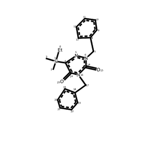 CC[Si](C)(C)c1nn(Cc2ccccc2)c(=O)n(Cc2ccccc2)c1=O